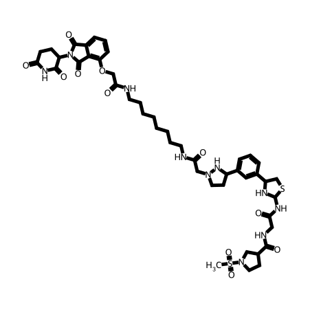 CS(=O)(=O)N1CCC(C(=O)NCC(=O)NC2NC(c3cccc(C4CCN(CC(=O)NCCCCCCCCNC(=O)COc5cccc6c5C(=O)N(C5CCC(=O)NC5=O)C6=O)N4)c3)CS2)C1